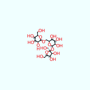 OCC1O[C@@H](OCC2O[C@@H](O[C@]3(CO)O[C@H](CO)[C@@H](O)C3O)C(O)[C@@H](O)[C@@H]2O)C(O)[C@@H](O)[C@H]1O